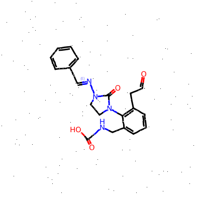 O=[C]Cc1cccc(CNC(=O)O)c1N1CCN(/N=C/c2ccccc2)C1=O